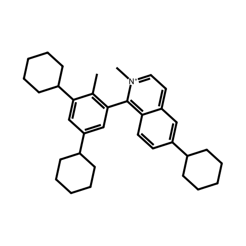 Cc1c(-c2c3ccc(C4CCCCC4)cc3cc[n+]2C)cc(C2CCCCC2)cc1C1CCCCC1